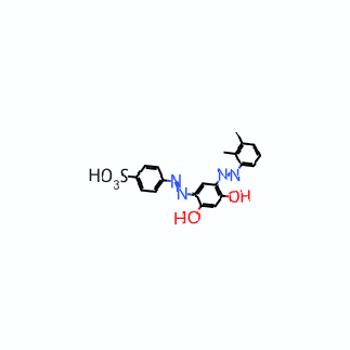 Cc1cccc(N=Nc2cc(N=Nc3ccc(S(=O)(=O)O)cc3)c(O)cc2O)c1C